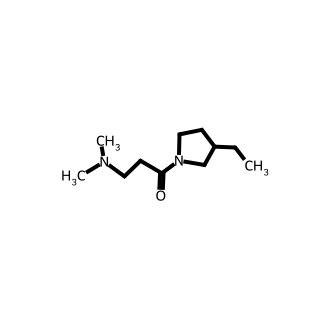 CCC1CCN(C(=O)CCN(C)C)C1